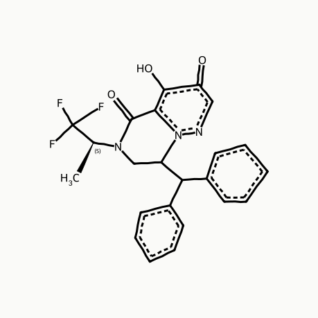 C[C@H](N1CC(C(c2ccccc2)c2ccccc2)n2ncc(=O)c(O)c2C1=O)C(F)(F)F